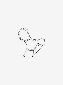 c1ccc2c3c4c5c(c2c1)CC5C4C3